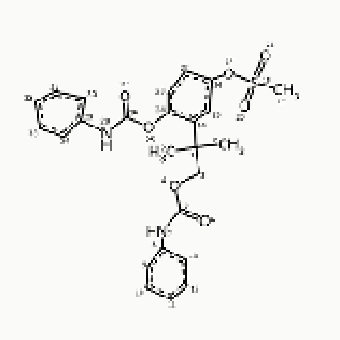 CC(C)(COC(=O)Nc1ccccc1)c1cc(OS(C)(=O)=O)ccc1OC(=O)Nc1ccccc1